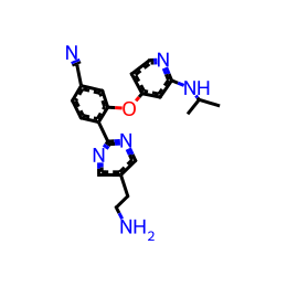 CC(C)Nc1cc(Oc2cc(C#N)ccc2-c2ncc(CCN)cn2)ccn1